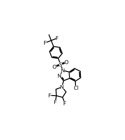 CC(F)(F)c1ccc(S(=O)(=O)n2nc(N3CC(F)C(F)(F)C3)c3c(Cl)cccc32)cc1